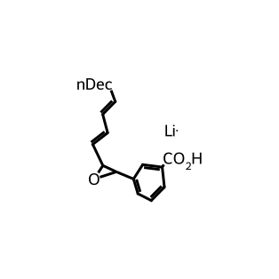 CCCCCCCCCCC=CC=CC1OC1c1cccc(C(=O)O)c1.[Li]